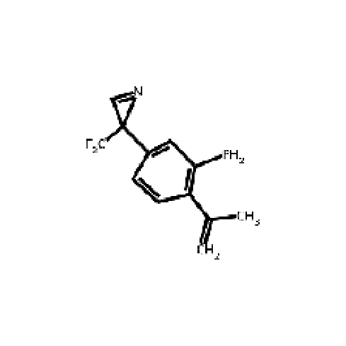 C=C(C)c1ccc(C2(C(F)(F)F)C=N2)cc1P